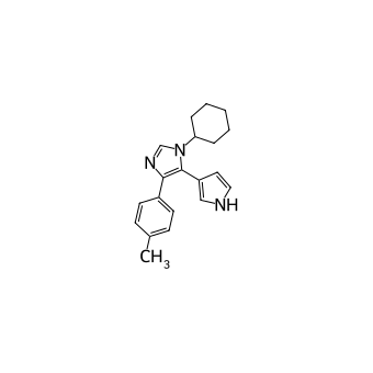 Cc1ccc(-c2ncn(C3CCCCC3)c2-c2cc[nH]c2)cc1